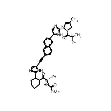 COC(=O)N[C@H](C(=O)C1CCCCC1c1ncc(C#Cc2ccc3cc(-c4cnc([C@@H]5C=C(C)CN5C(=O)[C@@H](C)C(C)C)[nH]4)ccc3c2)[nH]1)C(C)C